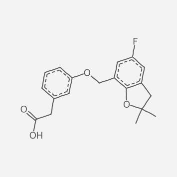 CC1(C)Cc2cc(F)cc(COc3cccc(CC(=O)O)c3)c2O1